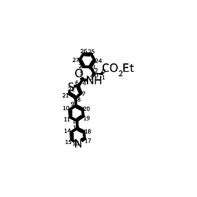 CCOC(=O)C[C@@H](NC(=O)c1cc(-c2ccc(-c3ccncc3)cc2)cs1)c1ccccc1